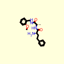 COc1c[c]ccc1CNC(=O)[C@H](C)NC(=O)[C@H](N)CCc1ccccc1